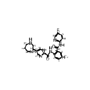 O=C(Nc1ccc(F)cc1C(=O)Nc1ccc(F)cn1)c1ncc(C2CNCCCN2)cn1